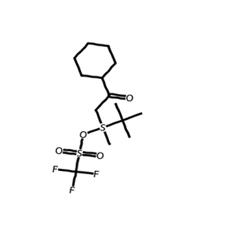 CC(C)(C)S(C)(CC(=O)C1CCCCC1)OS(=O)(=O)C(F)(F)F